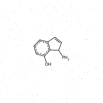 Oc1cccc2c1C(P)C=C2